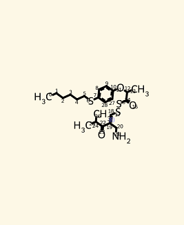 CCCCCCSc1ccc(OC(C)C(=O)SS/C=C(\CN)C(=O)C(C)C)cc1